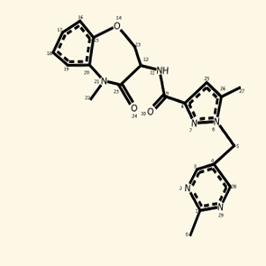 Cc1ncc(Cn2nc(C(=O)NC3COc4ccccc4N(C)C3=O)cc2C)cn1